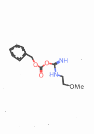 COCCNC(=N)OC(=O)OCc1ccccc1